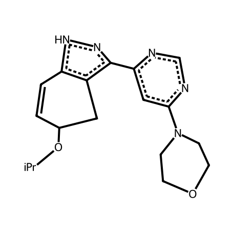 CC(C)OC1C=Cc2[nH]nc(-c3cc(N4CCOCC4)ncn3)c2C1